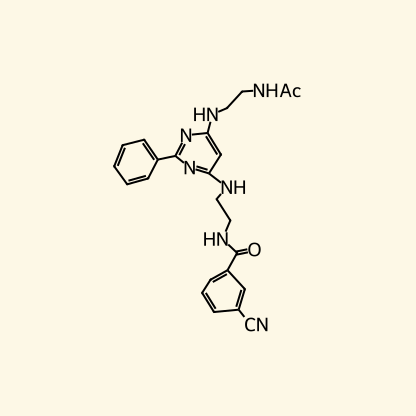 CC(=O)NCCNc1cc(NCCNC(=O)c2cccc(C#N)c2)nc(-c2ccccc2)n1